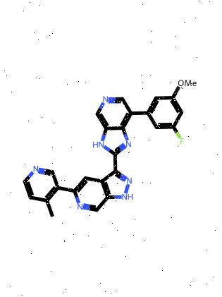 COc1cc(F)cc(-c2cncc3[nH]c(-c4n[nH]c5cnc(-c6cnccc6C)cc45)nc23)c1